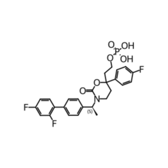 C[C@@H](c1ccc(-c2ccc(F)cc2F)cc1)N1CCC(CCOP(=O)(O)O)(c2ccc(F)cc2)OC1=O